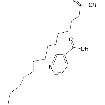 CCCCCCCCCCCCCC(=O)O.O=C(O)c1cccnc1